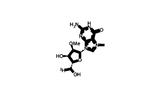 [2H]C(O)[C@H]1O[C@@H](n2c[n+](C)c3c(=O)[nH]c(N)nc32)[C@H](OC)[C@@H]1O